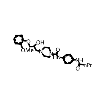 CCCC(=O)Nc1ccc(NC(=O)N2CCN(CC(O)COc3ccccc3OC)CC2)cc1